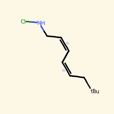 CC(C)(C)C/C=C\C=C/CNCl